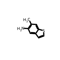 Cc1cc2sccc2cc1N